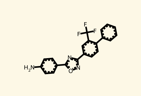 Nc1ccc(-c2nc(-c3ccc(-c4ccccc4)c(C(F)(F)F)c3)no2)cc1